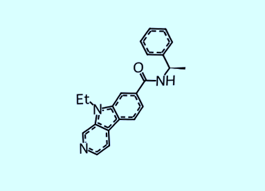 CCn1c2cnccc2c2ccc(C(=O)N[C@H](C)c3ccccc3)cc21